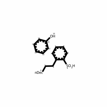 CCCCCCCCCCCCc1ccccc1S(=O)(=O)O.Oc1ccccc1